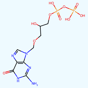 Nc1nc2c(ncn2COCC(O)COP(=O)(O)OP(=O)(O)O)c(=O)[nH]1